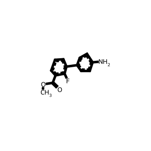 COC(=O)c1cccc(-c2ccc(N)cc2)c1F